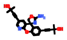 CC(C)(O)C#Cc1ccc2c(c1)[C@]1(COC(N)=N1)c1cc(C#CC(C)(C)O)cnc1O2